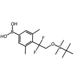 Cc1cc(B(O)O)cc(C)c1C(F)(F)CO[Si](C)(C)C(C)(C)C